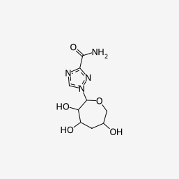 NC(=O)c1ncn(C2OCC(O)CC(O)C2O)n1